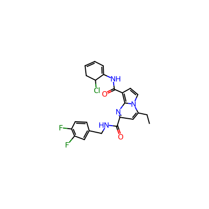 CCc1cc(C(=O)NCc2ccc(F)c(F)c2)nc2c(C(=O)NC3=CC=CCC3Cl)ccn12